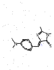 CC1=N/C(=C\c2ccc(N(C)C)cc2)C(=S)N1C